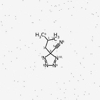 CC(C)CC1(C#N)N=NN=N1